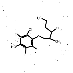 CCCC(C)C(C)CSc1c(Cl)c(Cl)c(O)c(Cl)c1Cl